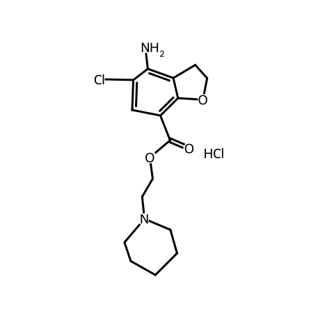 Cl.Nc1c(Cl)cc(C(=O)OCCN2CCCCC2)c2c1CCO2